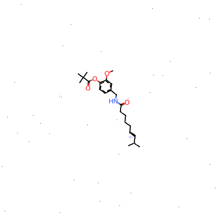 COc1cc(CNC(=O)CCCC/C=C/C(C)C)ccc1OC(=O)C(C)(C)C